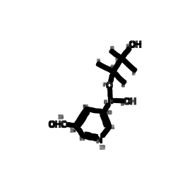 CC(C)(O)C(C)(C)OB(O)c1cncc(C=O)c1